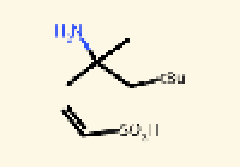 C=CS(=O)(=O)O.CC(C)(C)CC(C)(C)N